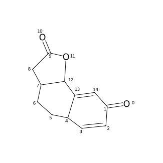 O=C1C=CC2CCC3CC(=O)OC3C2=C1